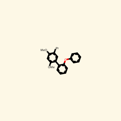 COc1cc(OC)c(C(C)C)cc1-c1ccccc1Oc1ccccc1